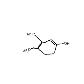 O=C(O)C1C=C(O)CCC1C(=O)O